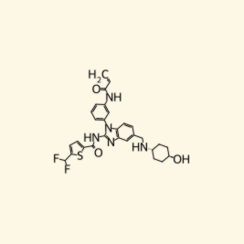 C=CC(=O)Nc1cccc(-n2c(NC(=O)c3ccc(C(F)F)s3)nc3cc(CN[C@H]4CC[C@H](O)CC4)ccc32)c1